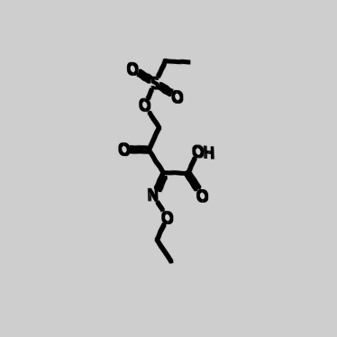 CCON=C(C(=O)O)C(=O)COS(=O)(=O)CC